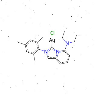 CCN(CC)c1cccc2cn(-c3c(C)cc(C)cc3C)[c](=[Au][Cl])n12